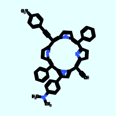 C#Cc1c2nc(c(-c3ccccc3)c3ccc([nH]3)c(C#Cc3ccc([N+](=O)[O-])cc3)c3nc(c(-c4ccccc4)c4[nH]c1cc4-c1ccc(N(C)C)cc1)C=C3)C=C2